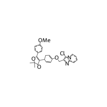 COc1ccc(C2=C(C3C=CC(OCc4nc5ccccn5c4Cl)=CC3)C(=O)C(C)(C)O2)cc1